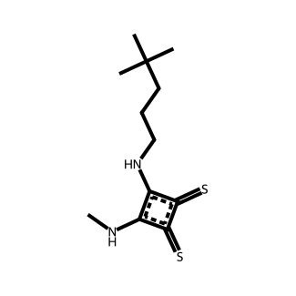 CNc1c(NCCCC(C)(C)C)c(=S)c1=S